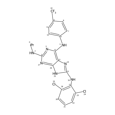 CC(C)Nc1nc(Nc2ccc(C(F)(F)F)cc2)c2nc(Nc3c(Cl)cccc3Cl)[nH]c2n1